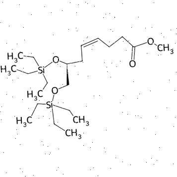 CC[Si](CC)(CC)OC[C@H](C/C=C\CCC(=O)OC)O[Si](CC)(CC)CC